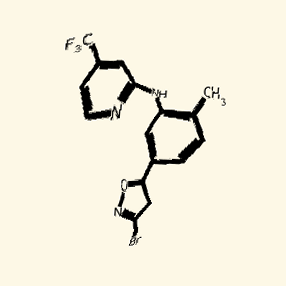 Cc1ccc(C2CC(Br)=NO2)cc1Nc1cc(C(F)(F)F)ccn1